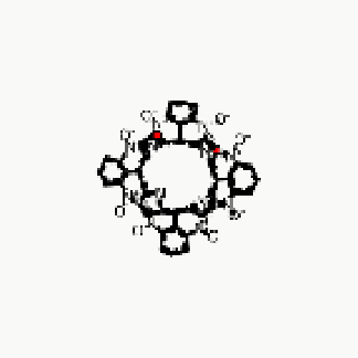 O=[N+]([O-])c1cccc([N+](=O)[O-])c1-c1c2nc(c(-c3c([N+](=O)[O-])cccc3[N+](=O)[O-])c3ccc([nH]3)c(-c3c([N+](=O)[O-])cccc3[N+](=O)[O-])c3nc(c(-c4c([N+](=O)[O-])cccc4[N+](=O)[O-])c4ccc1[nH]4)C=C3)C=C2